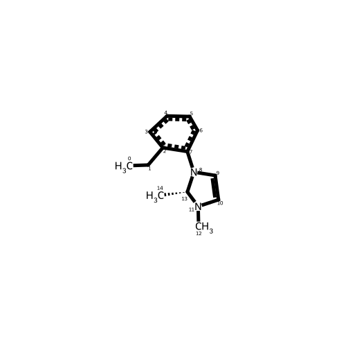 CCc1ccccc1N1C=CN(C)[C@@H]1C